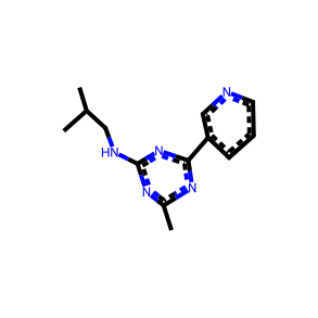 Cc1nc(NCC(C)C)nc(-c2cccnc2)n1